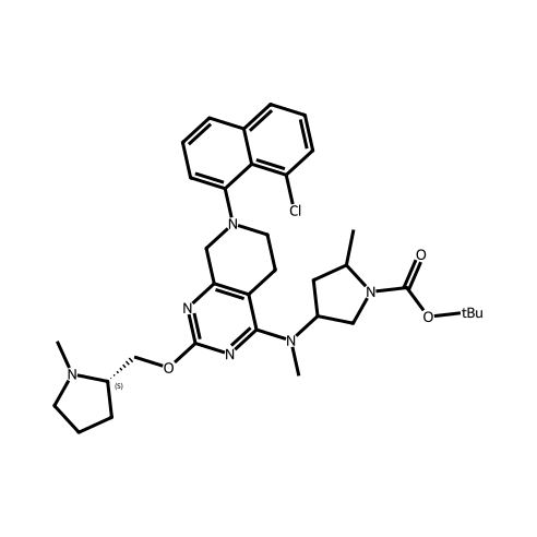 CC1CC(N(C)c2nc(OC[C@@H]3CCCN3C)nc3c2CCN(c2cccc4cccc(Cl)c24)C3)CN1C(=O)OC(C)(C)C